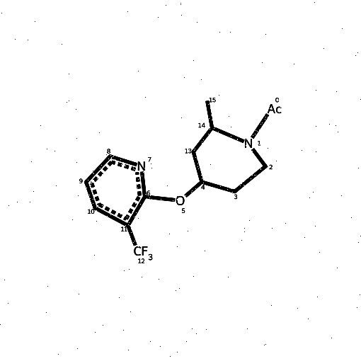 CC(=O)N1CCC(Oc2ncccc2C(F)(F)F)CC1C